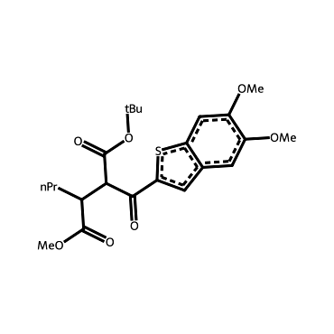 CCCC(C(=O)OC)C(C(=O)OC(C)(C)C)C(=O)c1cc2cc(OC)c(OC)cc2s1